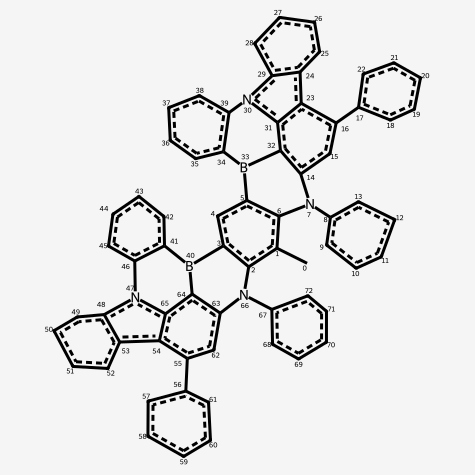 Cc1c2c(cc3c1N(c1ccccc1)c1cc(-c4ccccc4)c4c5ccccc5n5c4c1B3c1ccccc1-5)B1c3ccccc3-n3c4ccccc4c4c(-c5ccccc5)cc(c1c43)N2c1ccccc1